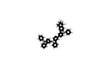 CC1(C)c2cc3c4cc(-c5ccc6c(c5)c5ccccc5n6-c5ccc6c(c5)c5ccccc5n6-c5ccccc5)ccc4n(-c4ccccc4)c3cc2C(C)(C)C1(C)C